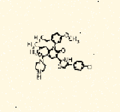 CCc1ccc(OC)cc1-n1c(C=C(C)C)c(C(=O)N2CCNCC2)cc(C2NC(c3ccc(Cl)cc3)=CS2)c1=O